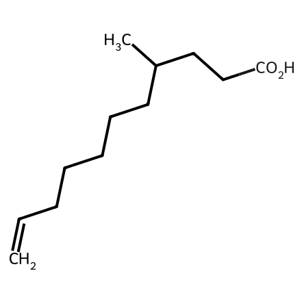 C=CCCCCCC(C)CCC(=O)O